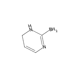 BC1=NC=CCN1